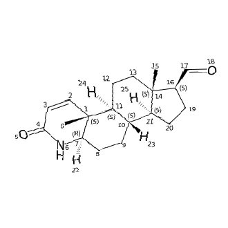 C[C@]12C=CC(=O)N[C@@H]1CC[C@@H]1[C@@H]2CC[C@]2(C)[C@@H](C=O)CC[C@@H]12